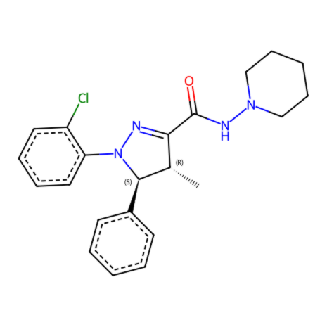 C[C@H]1C(C(=O)NN2CCCCC2)=NN(c2ccccc2Cl)[C@@H]1c1ccccc1